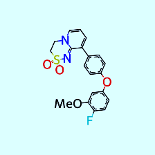 COc1cc(Oc2ccc(C3=CC=CN4CCS(=O)(=O)N=C34)cc2)ccc1F